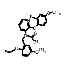 COc1ccc(Oc2ncccc2N(Cc2cc(OC)ccc2OCF)C(C)=O)c(F)c1